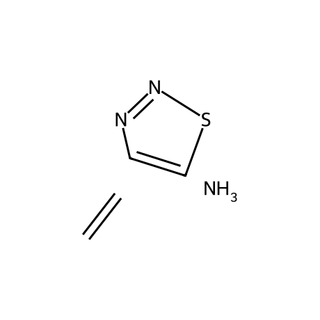 C=C.N.c1csnn1